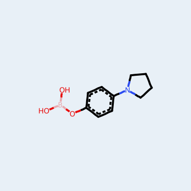 OB(O)Oc1ccc(N2CCCC2)cc1